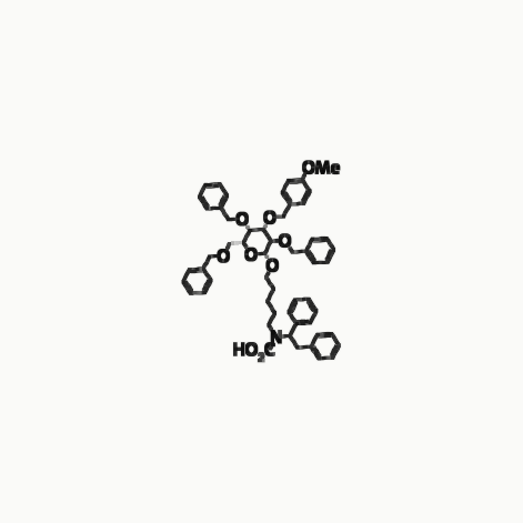 COc1ccc(CO[C@H]2[C@@H](OCc3ccccc3)[C@@H](COCc3ccccc3)O[C@@H](OCCCCCN(C(=O)O)C(Cc3ccccc3)c3ccccc3)[C@@H]2OCc2ccccc2)cc1